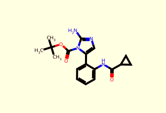 CC(C)(C)OC(=O)n1c(-c2ccccc2NC(=O)C2CC2)cnc1N